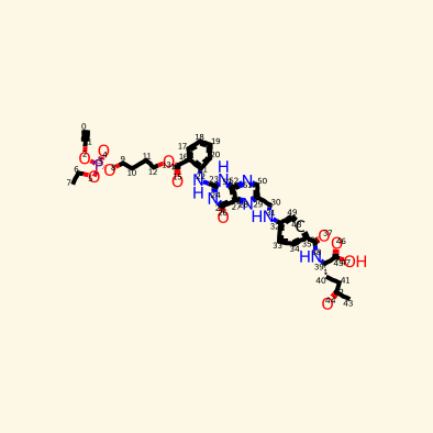 C#COP(=O)(OCC)OCCCCOC(=O)c1ccccc1Nc1nc(=O)c2nc(CNc3ccc(C(=O)N[C@@H](CCC(C)=O)C(=O)O)cc3)cnc2[nH]1